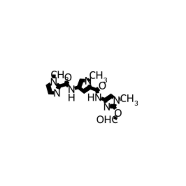 Cn1cc(NC(=O)c2nccn2C)cc1C(=O)Nc1cn(C)c(OC=O)n1